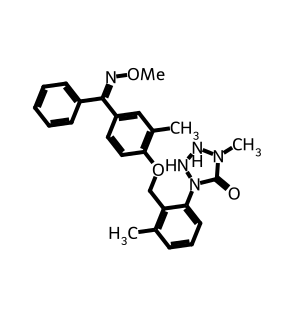 CON=C(c1ccccc1)c1ccc(OCc2c(C)cccc2N2NNN(C)C2=O)c(C)c1